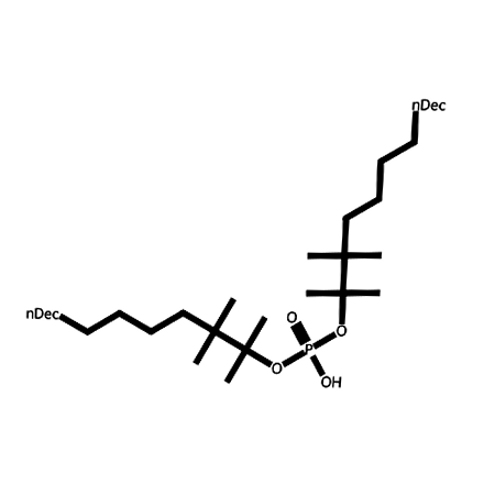 CCCCCCCCCCCCCCC(C)(C)C(C)(C)OP(=O)(O)OC(C)(C)C(C)(C)CCCCCCCCCCCCCC